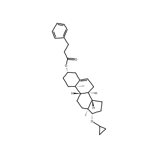 C[C@]12CC[C@H]3[C@@H](CC=C4C[C@@H](OC(=O)CCc5ccccc5)CC[C@@]43C)[C@@H]1CC[C@@H]2OC1CC1